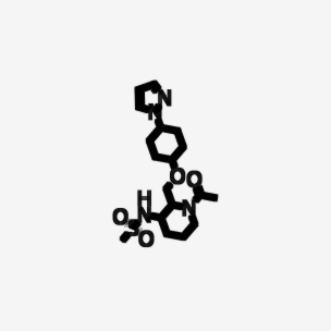 CC(=O)N1CCCC(NS(C)(=O)=O)C1COC1CCC(n2cccn2)CC1